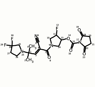 CC(C)(C=C(C#N)C(=O)N1CC(F)C(OC(=O)N2C(=O)CCC2=O)C1)N1CCC(F)(F)C1